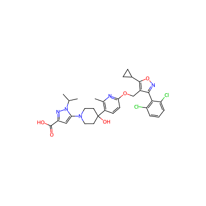 Cc1nc(OCc2c(-c3c(Cl)cccc3Cl)noc2C2CC2)ccc1C1(O)CCN(c2cc(C(=O)O)nn2C(C)C)CC1